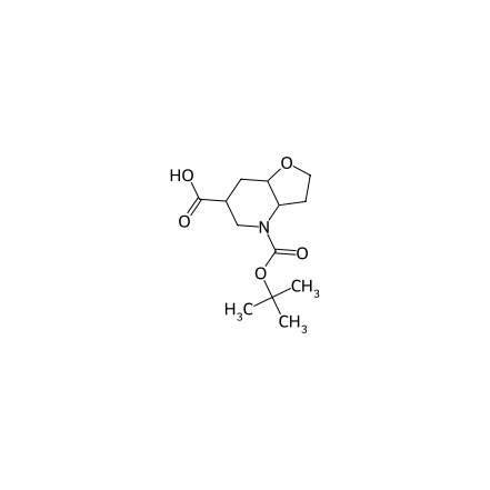 CC(C)(C)OC(=O)N1CC(C(=O)O)CC2OCCC21